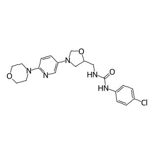 O=C(NCC1CN(c2ccc(N3CCOCC3)nc2)CO1)Nc1ccc(Cl)cc1